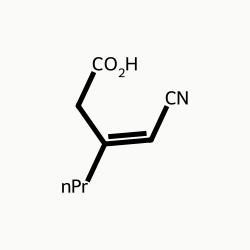 CCCC(=CC#N)CC(=O)O